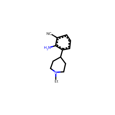 CCN1CCC(c2cccc(C#N)c2N)CC1